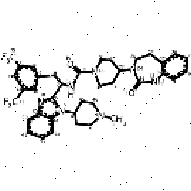 CN1CCC(n2c(C(Cc3cc(C(F)(F)F)cc(C(F)(F)F)c3)NC(=O)N3CCC(N4CCc5ccccc5NC4=O)CC3)nc3ccccc32)CC1